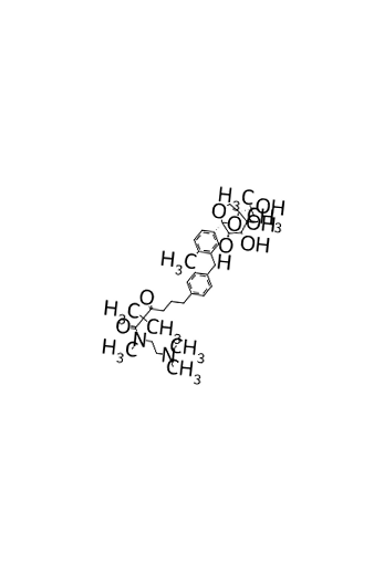 Cc1ccc([C@]23OC[C@](C(C)(C)O)(O2)[C@@H](O)[C@H](O)[C@H]3O)cc1Cc1ccc(CCCC(=O)C(C)(C)C(=O)N(C)CCN(C)C)cc1